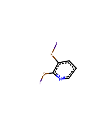 ISc1cccnc1SI